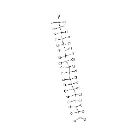 O=C(O)C(Cl)(Cl)C(Cl)(Cl)C(Cl)(Cl)C(Cl)(Cl)C(Cl)(Cl)C(Cl)(Cl)C(Cl)(Cl)C(Cl)(Cl)C(Cl)(Cl)C(Cl)(Cl)C(Cl)(Cl)C(Cl)(Cl)C(Cl)(Cl)C(Cl)(Cl)C(Cl)(Cl)C(Cl)(Cl)C(Cl)(Cl)Cl